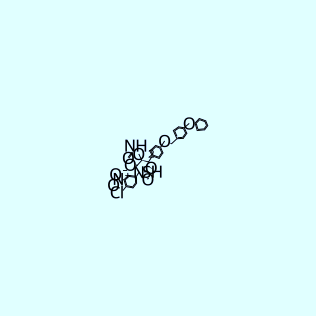 NC(=O)O[C@@H](Cc1ccc(OCc2ccc(Oc3ccccc3)cc2)cc1)C(=O)N(c1ccc(Cl)c([N+](=O)[O-])c1)[SH](=O)=O